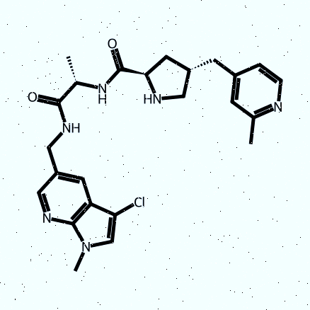 Cc1cc(C[C@@H]2CN[C@@H](C(=O)N[C@@H](C)C(=O)NCc3cnc4c(c3)c(Cl)cn4C)C2)ccn1